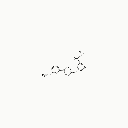 COC(=O)c1cccc(CN2CCN(c3cccc(CN)c3)CC2)c1